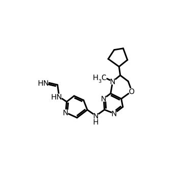 CN1c2nc(Nc3ccc(NC=N)nc3)ncc2OCC1C1CCCC1